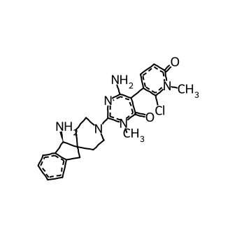 Cn1c(Cl)c(-c2c(N)nc(N3CCC4(CC3)Cc3ccccc3[C@H]4N)n(C)c2=O)ccc1=O